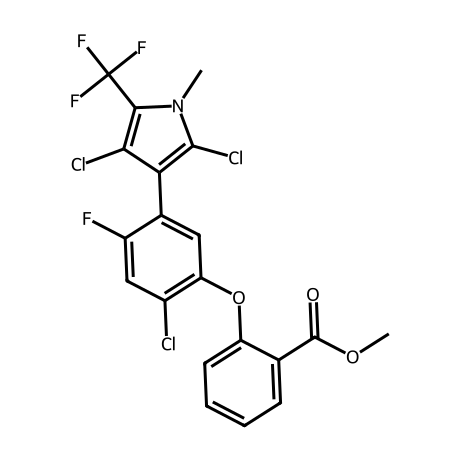 COC(=O)c1ccccc1Oc1cc(-c2c(Cl)c(C(F)(F)F)n(C)c2Cl)c(F)cc1Cl